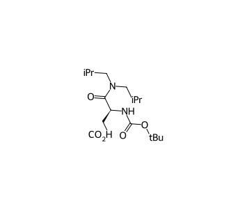 CC(C)CN(CC(C)C)C(=O)[C@H](CC(=O)O)NC(=O)OC(C)(C)C